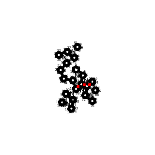 C1=CC2c3ccc4c(c3N(c3cc(-c5cccc(-c6cccc(-c7cccc(-n8c9ccccc9c9ccc%10c(c%11ccccc%11n%10-c%10ccccc%10)c98)c7)c6)c5)cc(-c5cc(-n6c7ccccc7c7c6ccc6c8ccccc8n(-c8ccccc8)c67)cc(-n6c7ccccc7c7c6ccc6c8ccccc8n(-c8ccccc8)c67)c5)c3)C2C=C1)c1ccccc1n4-c1ccccc1